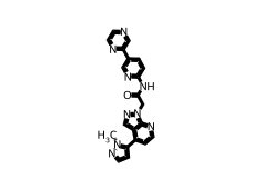 Cn1nccc1-c1ccnc2c1cnn2CC(=O)Nc1ccc(-c2cnccn2)cn1